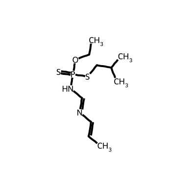 CC=CN=CNP(=S)(OCC)SCC(C)C